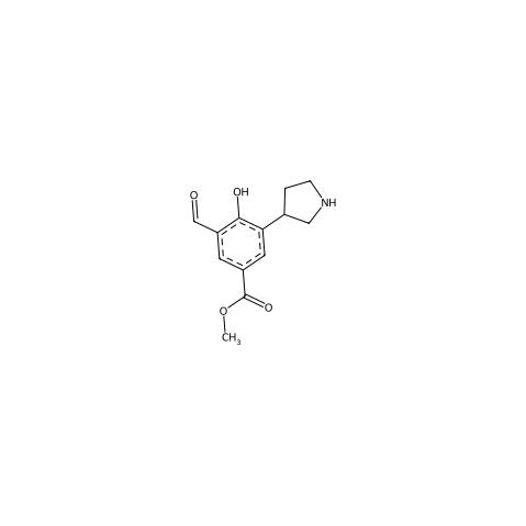 COC(=O)c1cc(C=O)c(O)c(C2CCNC2)c1